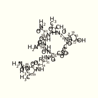 CC[C@H](C)[C@@H]1NC(=O)[C@H](Cc2ccc(O)cc2)NC(=O)CCS(=O)(=O)CC[C@@H](C(=O)NC[C@@H](F)CC(=O)N[C@@H](CC(C)C)C(=O)NCC(N)=O)NC(=O)[C@H](CC(N)=O)NC(=O)[C@H](CCC(N)=O)NC1=O